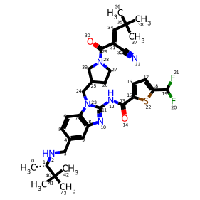 C[C@H](NCc1ccc2c(c1)nc(NC(=O)c1ccc(C(F)F)s1)n2CC1CCN(C(=O)/C(C#N)=C/C(C)(C)C)C1)C(C)(C)C